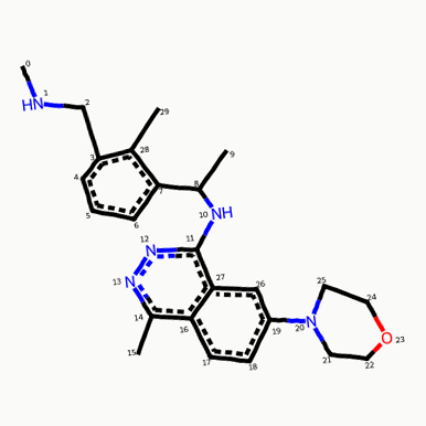 CNCc1cccc(C(C)Nc2nnc(C)c3ccc(N4CCOCC4)cc23)c1C